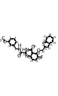 COc1cccc(CNC(=O)c2nc3ccc(F)c(OCc4cc5ccccc5s4)c3c(=O)[nH]2)c1